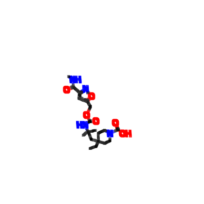 CCC1(CC(C)(C)NC(=O)OCc2cc(C(=O)NC)no2)CCN(C(=O)O)CC1